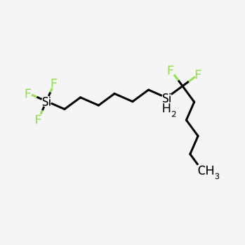 CCCCCC(F)(F)[SiH2]CCCCCC[Si](F)(F)F